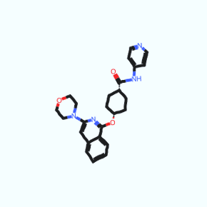 O=C(Nc1ccncc1)[C@H]1CC[C@@H](Oc2nc(N3CCOCC3)cc3ccccc23)CC1